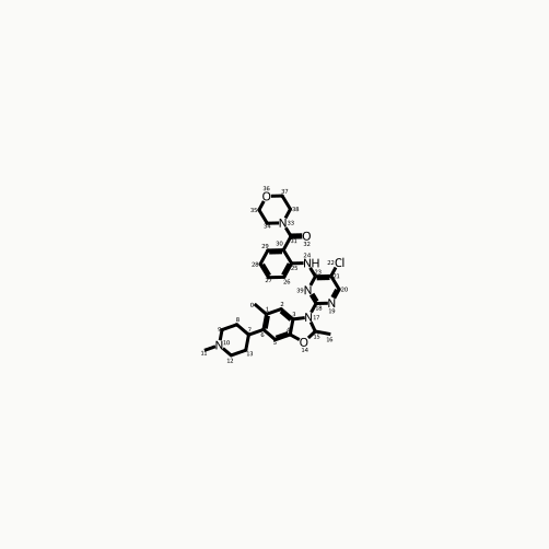 Cc1cc2c(cc1C1CCN(C)CC1)OC(C)N2c1ncc(Cl)c(Nc2ccccc2C(=O)N2CCOCC2)n1